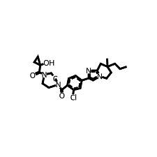 CCCC1(C)CCn2cc(-c3ccc(C(=O)N4CCN(C(=O)C5(O)CC5)CC4)c(Cl)c3)nc2C1